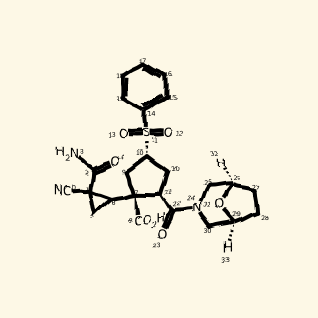 N#CC1(C(N)=O)CC1[C@]1(C(=O)O)C[C@H](S(=O)(=O)c2ccccc2)C[C@H]1C(=O)N1C[C@H]2CC[C@@H](C1)O2